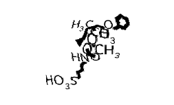 CC(OC(=O)NCCCCCS(=O)(=O)O)OC(CC(C)(C)CC(=O)OCc1ccccc1)=C1CC1